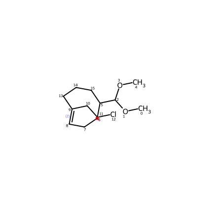 COC(OC)C1CC/C=C(\CCCl)CCC1